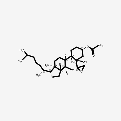 CC(=O)O[C@H]1CC[C@]2(C)[C@H]3CC[C@]4(C)[C@@H]([C@H](C)CCCC(C)C)CC[C@H]4[C@@H]3C[C@@]3(CO3)[C@@]2(O)C1